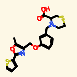 Cc1oc(-c2cccs2)nc1COc1cccc(CN2CCSCC2C(=O)O)c1